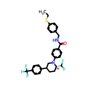 CCSc1ccc(CNC(=O)c2ccc(N3CC(c4ccc(C(F)(F)F)cc4)CC[C@H]3C(F)F)cc2)cc1